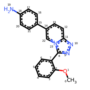 COc1ccccc1-c1nnc2ccc(-c3ccc(N)cc3)cn12